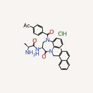 CC(=O)c1ccc(C(=O)N2C[C@H](NC(=O)[C@H](C)N)C(=O)N(Cc3c(C)ccc4ccccc34)c3ccccc32)cc1.Cl